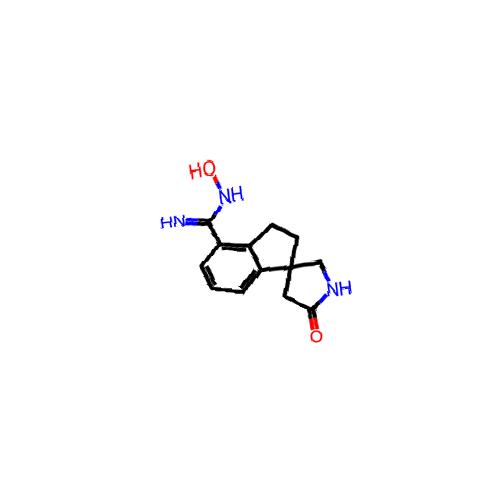 N=C(NO)c1cccc2c1CCC21CNC(=O)C1